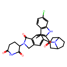 Cc1c(C(=O)N2C3CCC2CC(c2ccc4c(c2)CN(C2CCC(=O)NC2=O)C4=O)C3)[nH]c2cc(Cl)ccc12